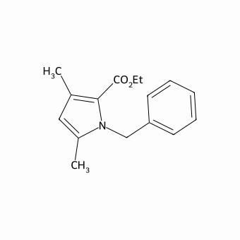 CCOC(=O)c1c(C)cc(C)n1Cc1ccccc1